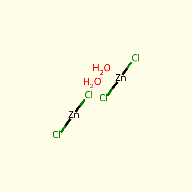 O.O.[Cl][Zn][Cl].[Cl][Zn][Cl]